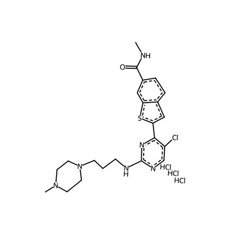 CNC(=O)c1ccc2cc(-c3nc(NCCCN4CCN(C)CC4)ncc3Cl)sc2c1.Cl.Cl.Cl